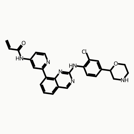 C=CC(=O)Nc1ccnc(-c2cccc3cnc(Nc4ccc(C5CNCCO5)cc4Cl)nc23)c1